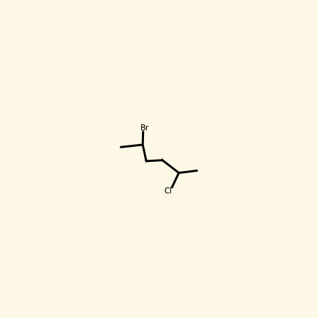 CC(Cl)[CH]CC(C)Br